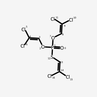 O=P(OC=C(Cl)Cl)(OC=C(Cl)Cl)SC=C(Cl)Cl